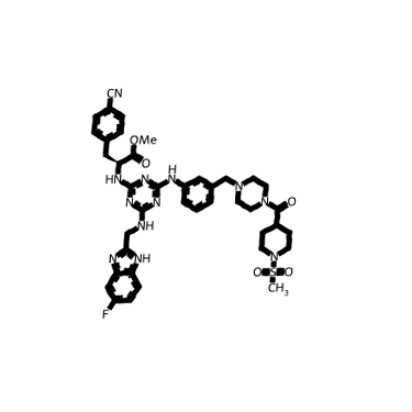 COC(=O)[C@H](Cc1ccc(C#N)cc1)Nc1nc(NCc2nc3cc(F)ccc3[nH]2)nc(Nc2cccc(CN3CCN(C(=O)C4CCN(S(C)(=O)=O)CC4)CC3)c2)n1